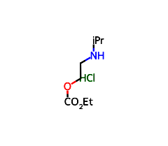 CCOC(=O)OCCNC(C)C.Cl